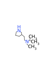 CCN(CCC1CCCNC1)C(C)C